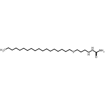 CCCCCCCCCCCCCCCCCCSCCCNNC(N)=O